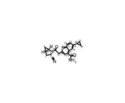 N#C[C@@H]1C[C@@H]2C[C@@H]2N1C(=O)Cc1cc(C(N)=O)c2cc(C3CC3)ccc2n1